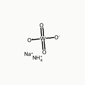 [NH4+].[Na+].[O]=[W](=[O])([O-])[O-]